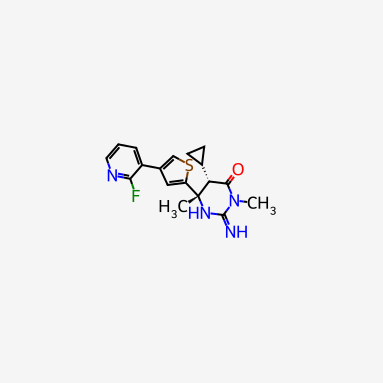 CN1C(=N)N[C@](C)(c2cc(-c3cccnc3F)cs2)[C@H](C2CC2)C1=O